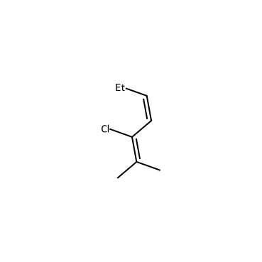 CC/C=C\C(Cl)=C(C)C